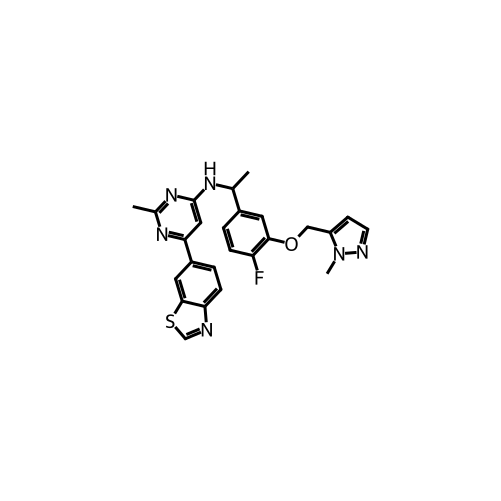 Cc1nc(NC(C)c2ccc(F)c(OCc3ccnn3C)c2)cc(-c2ccc3ncsc3c2)n1